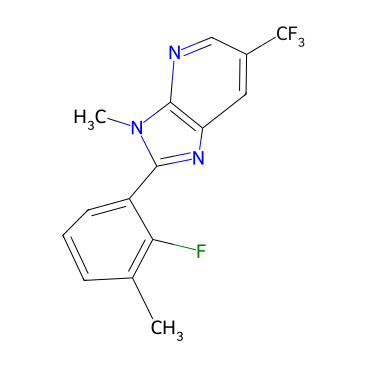 Cc1cccc(-c2nc3cc(C(F)(F)F)cnc3n2C)c1F